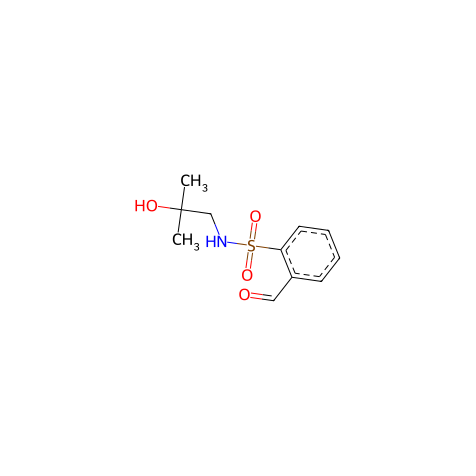 CC(C)(O)CNS(=O)(=O)c1ccccc1C=O